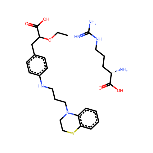 CCOC(Cc1ccc(NCCCN2CCSc3ccccc32)cc1)C(=O)O.N=C(N)NCCC[C@H](N)C(=O)O